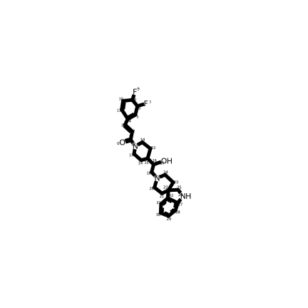 O=C(/C=C/C1=CC(F)C(F)C=C1)N1CCC(C(O)CN2CCC3(CC2)CNc2ccccc23)CC1